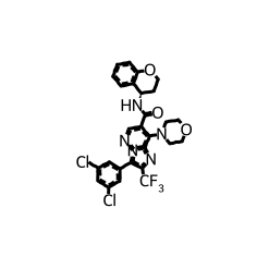 O=C(N[C@H]1CCOc2ccccc21)c1cnn2c(-c3cc(Cl)cc(Cl)c3)c(C(F)(F)F)nc2c1N1CCOCC1